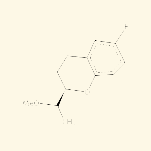 COC(C)[C@H]1CCc2cc(F)ccc2O1